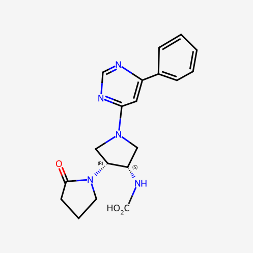 O=C(O)N[C@H]1CN(c2cc(-c3ccccc3)ncn2)C[C@H]1N1CCCC1=O